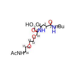 CCCCNC(=O)CCC(NC(=O)COCCOCCNC(C)=O)C(=O)O